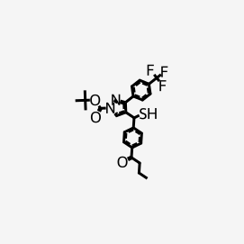 CCCC(=O)c1ccc(C(S)c2cn(C(=O)OC(C)(C)C)nc2-c2ccc(C(F)(F)F)cc2)cc1